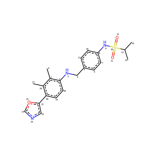 Cc1c(NCc2ccc(NS(=O)(=O)C(C)C)cc2)ccc(-c2cnco2)c1C